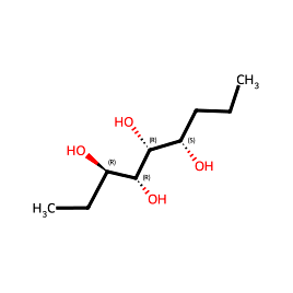 CCC[C@H](O)[C@@H](O)[C@H](O)[C@H](O)CC